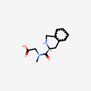 CN(CC(=O)O)C(=O)[C@@H]1Cc2ccccc2CN1